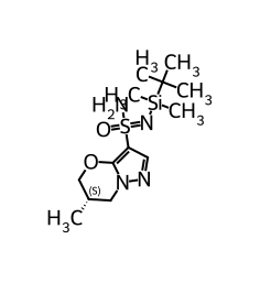 C[C@@H]1COc2c(S(N)(=O)=N[Si](C)(C)C(C)(C)C)cnn2C1